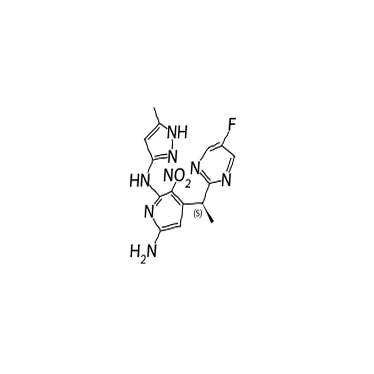 Cc1cc(Nc2nc(N)cc([C@H](C)c3ncc(F)cn3)c2[N+](=O)[O-])n[nH]1